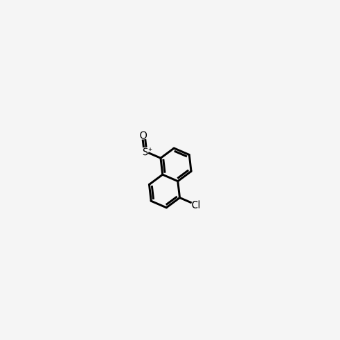 O=[S+]c1cccc2c(Cl)cccc12